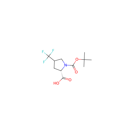 CC(C)(C)OC(=O)N1CC(C(F)(F)F)C[C@H]1C(=O)O